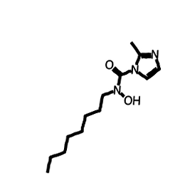 CCCCCCCCN(O)C(=O)n1ccnc1C